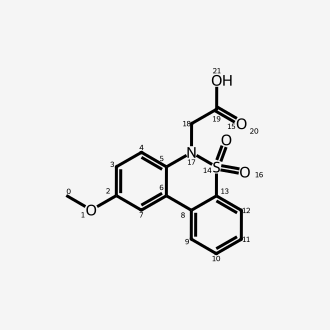 COc1ccc2c(c1)-c1ccccc1S(=O)(=O)N2CC(=O)O